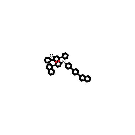 c1ccc(N(c2ccc(-c3ccc(-c4ccc5ccccc5c4)cc3)cc2)c2ccc(-c3cccc4ccccc34)cc2)c(-c2ccc3c(c2)oc2ccccc23)c1